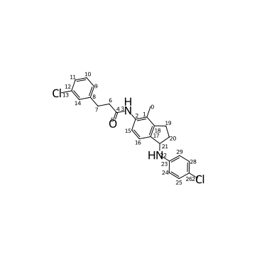 Cc1c(NC(=O)CCc2cccc(Cl)c2)ccc2c1CCC2Nc1ccc(Cl)cc1